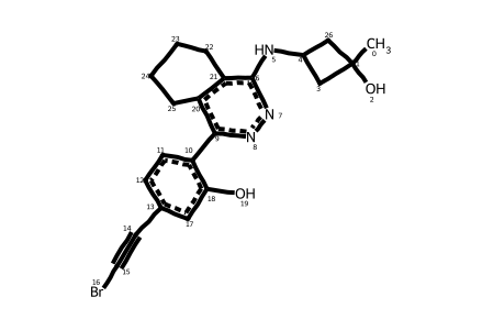 CC1(O)CC(Nc2nnc(-c3ccc(C#CBr)cc3O)c3c2CCCC3)C1